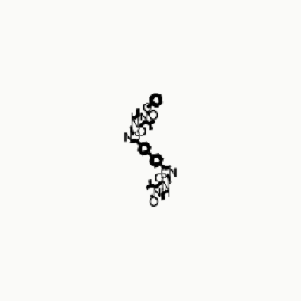 CCCN(Cc1ncc(-c2ccc(-c3ccc(-c4cnc(CN(CCC)C(=O)[C@@H](NC(=O)Oc5ccccc5)C(C)C)s4)cc3)cc2)s1)C(=O)[C@@H](NC=O)C(C)C